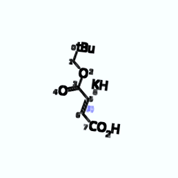 CC(C)(C)COC(=O)/C=C/C(=O)O.[KH]